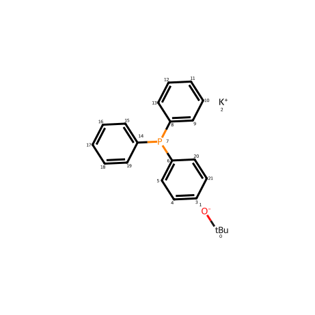 CC(C)(C)[O-].[K+].c1ccc(P(c2ccccc2)c2ccccc2)cc1